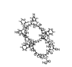 C[C@@H]1NC(=O)[C@H](CCC(=O)O)NC(=O)[C@H](CC(=O)O)NC(=O)[C@H](C)NC(=O)[C@@H]2CSS[C@H](NC(=O)[C@H](Cc3c[nH]c4ccccc34)NC1=O)C(=O)N1CSC[C@H]1C(=O)N[C@@H](Cc1c[nH]cn1)C(=O)N[C@H](Cc1ccccc1)C(=O)N[C@@H](Cc1c[nH]cn1)C(=O)N[C@@H](Cc1c[nH]c3ccccc13)C(=O)N2